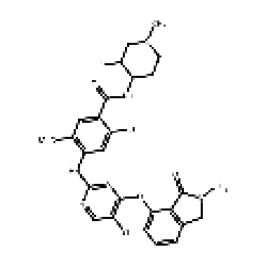 COc1cc(C(=O)NC2CCN(C)CC2F)c(C)cc1Nc1ncc(Cl)c(Oc2cccc3c2C(=O)N(C)C3)n1